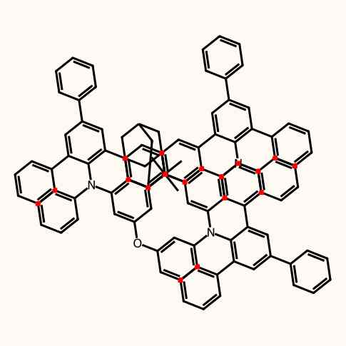 CC(C)(C)c1cc(Oc2cccc(N(c3cc(N(c4ccccc4)c4c(-c5ccccc5)cc(-c5ccccc5)cc4-c4ccccc4)cc(N4C5CC6CC(C5)CC4C6)c3)c3c(-c4ccccc4)cc(-c4ccccc4)cc3-c3ccccc3)c2)cc(N(c2ccccc2)c2c(-c3ccccc3)cc(-c3ccccc3)cc2-c2ccccc2)c1